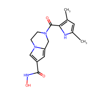 Cc1cc(C)c(C(=O)N2CCn3cc(C(=O)NO)cc3C2)[nH]1